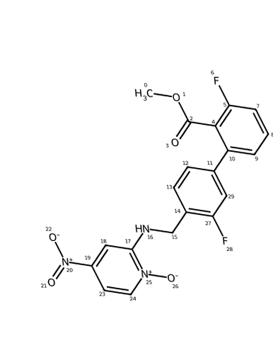 COC(=O)c1c(F)cccc1-c1ccc(CNc2cc([N+](=O)[O-])cc[n+]2[O-])c(F)c1